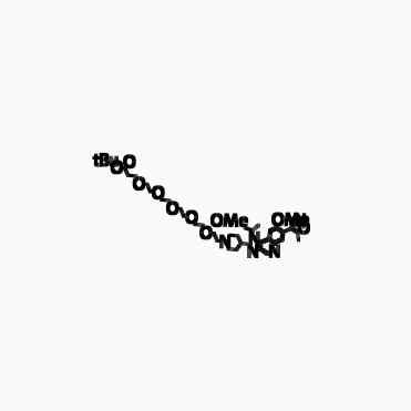 COC[C@@H](C)n1c(C2CCN(CCOCCOCCOCCOCCOCCC(=O)OC(C)(C)C)CC2)nc2cnc3cc(-c4c(C)noc4C)c(OC)cc3c21